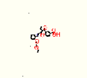 CCOCCOc1ccccc1/C=C/c1oc2ccc(C(=O)O)cc2c(=O)c1CC